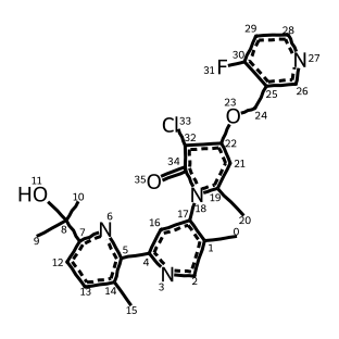 Cc1cnc(-c2nc(C(C)(C)O)ccc2C)cc1-n1c(C)cc(OCc2cnccc2F)c(Cl)c1=O